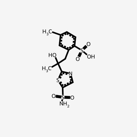 Cc1ccc(S(=O)(=O)O)c(CC(C)(O)c2ncc(S(N)(=O)=O)s2)c1